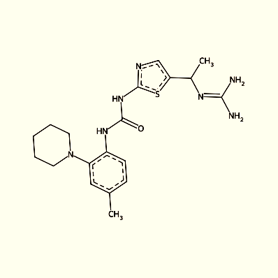 Cc1ccc(NC(=O)Nc2ncc(C(C)N=C(N)N)s2)c(N2CCCCC2)c1